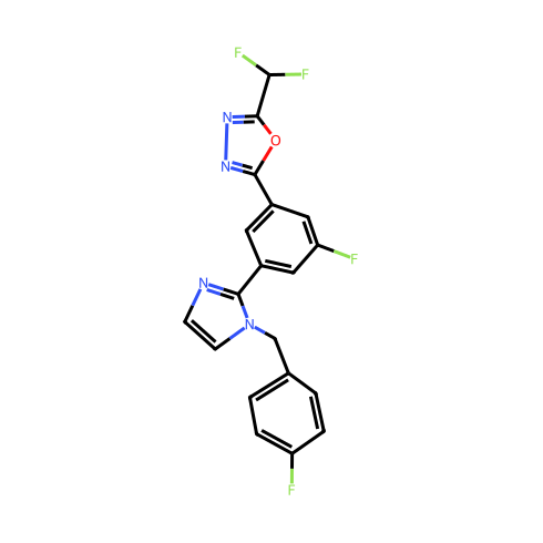 Fc1ccc(Cn2ccnc2-c2cc(F)cc(-c3nnc(C(F)F)o3)c2)cc1